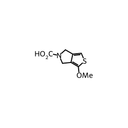 COc1scc2c1CN(C(=O)O)C2